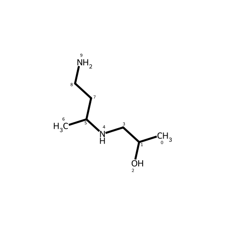 CC(O)CNC(C)CCN